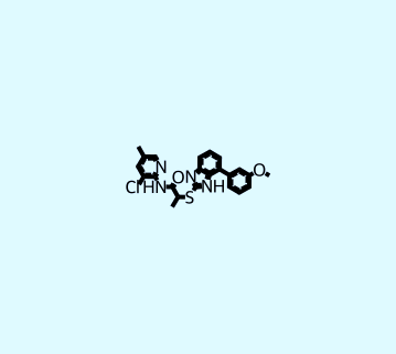 COc1cccc(-c2cccc3nc(SC(C)C(=O)Nc4ncc(C)cc4Cl)[nH]c23)c1